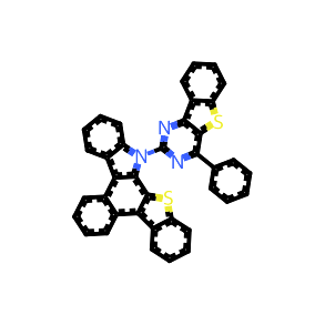 c1ccc(-c2nc(-n3c4ccccc4c4c5ccccc5c5c6ccccc6sc5c43)nc3c2sc2ccccc23)cc1